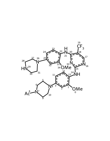 COc1cc(N2CCN(C(C)=O)CC2)ccc1Nc1ncc(C(F)(F)F)c(Nc2ccc(N3CCNCC3)cc2OC)n1